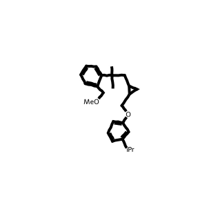 COCc1ccccc1C(C)(C)CC1CC1COc1cccc(C(C)C)c1